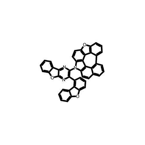 c1cc2c3c(c1)ccc1c3c3c4c(ccc3n1-c1nc3c(nc1-c1cccc5oc6ccccc6c15)oc1ccccc13)oc1cccc-2c14